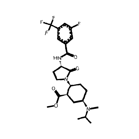 COC(=O)[C@@H]1C[C@H](N(C)C(C)C)CC[C@@H]1N1CC[C@H](NC(=O)c2cc(F)cc(C(F)(F)F)c2)C1=O